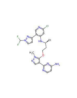 CC[C@@H](CCOc1c(-c2nccc(N)n2)cnn1C)Nc1cc(Cl)ncc1-c1ccn(C(F)F)n1